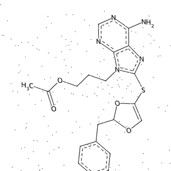 CC(=O)OCCCn1c(SC2=COC(Cc3ccccc3)O2)nc2c(N)ncnc21